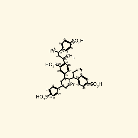 CC(C)CC(CC(CC(CC(C)C)c1ccc(S(=O)(=O)O)cc1)c1ccc(C(C)CC(c2ccc(S(=O)(=O)O)cc2)C(C)C)c(S(=O)(=O)O)c1)c1ccc(S(=O)(=O)O)cc1